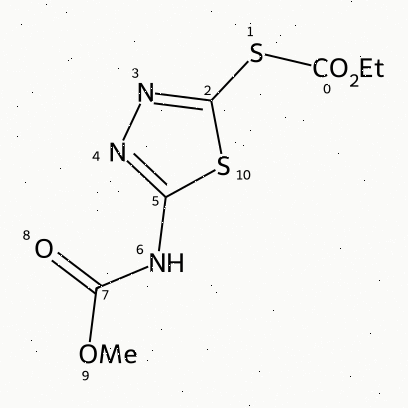 CCOC(=O)Sc1nnc(NC(=O)OC)s1